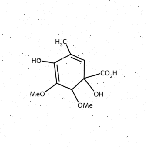 COC1=C(O)C(C)=CC(O)(C(=O)O)C1OC